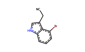 N#CCc1c[nH]c2cccc(Br)c12